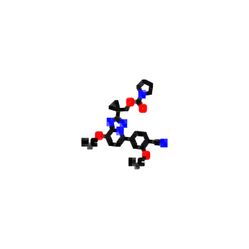 COc1cc(-c2ccc(OC)c3nc(C4(COC(=O)N5CCCC5)CC4)nn23)ccc1C#N